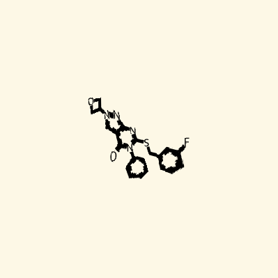 O=c1c2cn(C3COC3)nc2nc(SCc2cccc(F)c2)n1-c1ccccc1